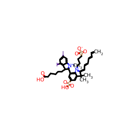 C=CC=CC=CC=C1N(CCCCS(=O)(=O)[O-])c2c(C3=[N+](C)c4cc(I)cc(I)c4C3CCCCCC(=O)O)cc(S(=O)(=O)O)cc2C1(C)C